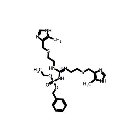 CCOP(=O)(N/C(=N\CCSCc1nc[nH]c1C)NCCSCc1nc[nH]c1C)OCc1ccccc1